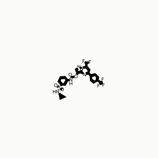 O=C(Nc1cccc(S(=O)(=O)NC2CC2)c1)Oc1cnn2c(C(F)F)cc(-c3ccc(C(F)(F)F)cc3)nc12